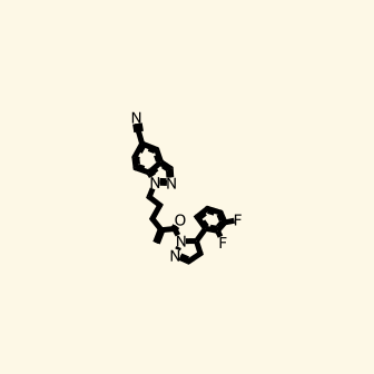 C=C(CCCn1ncc2cc(C#N)ccc21)C(=O)N1N=CCC1c1cccc(F)c1F